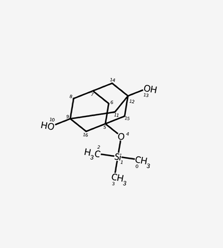 C[Si](C)(C)OC12CC3CC(O)(CC(O)(C3)C1)C2